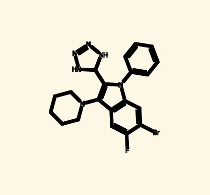 Fc1cc2c(N3CCCCC3)c(C3NN=NN3)n(-c3ccccc3)c2cc1Br